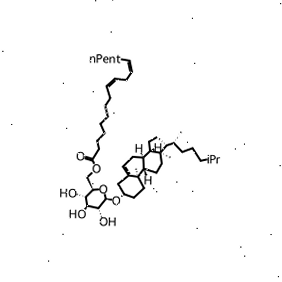 CCCCC/C=C\C/C=C\CCCCCCCC(=O)OC[C@H]1O[C@@H](O[C@H]2CC[C@@]3(C)C(=CC[C@H]4[C@@H]5CC[C@H]([C@H](C)CCCC(C)C)[C@@]5(C)CC[C@@H]43)C2)[C@H](O)[C@@H](O)[C@@H]1O